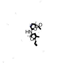 C=CC[C@@H]1O[C@H](C)[C@H](NC(=O)/C=C\[C@H](C)OC(C)=O)C=C1C